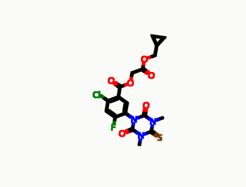 Cn1c(=S)n(C)c(=O)n(-c2cc(C(=O)OCC(=O)OCC3CC3)c(Cl)cc2F)c1=O